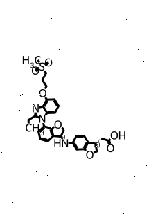 CCc1nc2c(OCCCS(C)(=O)=O)cccc2n1-c1cccc2c1OC[C@H]2Nc1ccc2c(c1)OC[C@H]2CC(=O)O